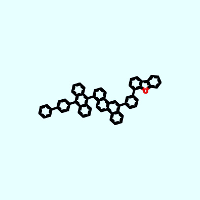 c1ccc(-c2ccc(-c3c4ccccc4c(-c4cccc5c4ccc4c6ccccc6c(-c6cccc(-c7cccc8c7oc7ccccc78)c6)cc54)c4ccccc34)cc2)cc1